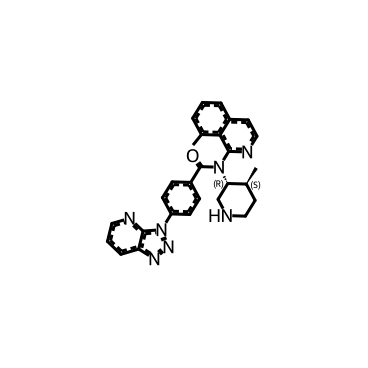 Cc1cccc2ccnc(N(C(=O)c3ccc(-n4nnc5cccnc54)cc3)[C@H]3CNCC[C@@H]3C)c12